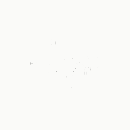 COC(c1cc(C)cc(C)c1)(c1cc(C)cc(C)c1)C1CCCN1C(=O)c1nccn1C